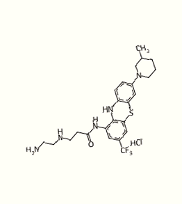 CC1CCCN(c2ccc3c(c2)Sc2cc(C(F)(F)F)cc(NC(=O)CCNCCN)c2N3)C1.Cl